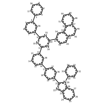 c1ccc(-c2cccc(-c3nc(-c4cccc(-c5ccc(-c6nc7ccccc7n6-c6ccccc6)cc5)c4)nc(-c4ccc5ccc6ccccc6c5c4)n3)c2)cc1